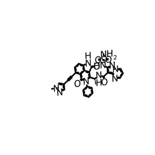 C[C@H](NC(=O)c1c(NS(N)(=O)=O)nn2cccnc12)c1c2c3c(ccc(C#Cc4cnn(C)c4)c3c(=O)n1-c1ccccc1)NC2=O